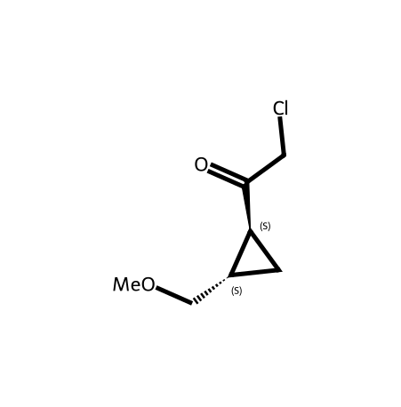 COC[C@H]1C[C@@H]1C(=O)CCl